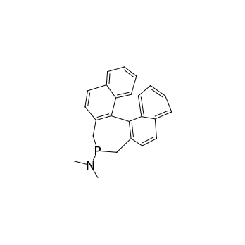 CN(C)P1Cc2ccc3ccccc3c2-c2c(ccc3ccccc23)C1